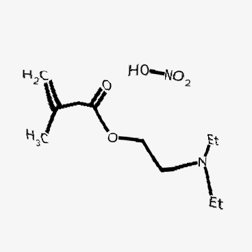 C=C(C)C(=O)OCCN(CC)CC.O=[N+]([O-])O